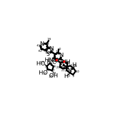 Cc1nc(NCC2C[C@H]3CC[C@@H](C2)N3c2ccc(OC(F)(F)F)cc2)nc(N[C@@H]2C[C@H](CO)[C@@H](O)[C@H]2O)c1-c1nc2c(C)nccc2s1